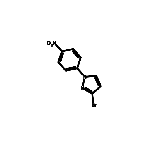 O=[N+]([O-])c1ccc(-n2ccc(Br)n2)cc1